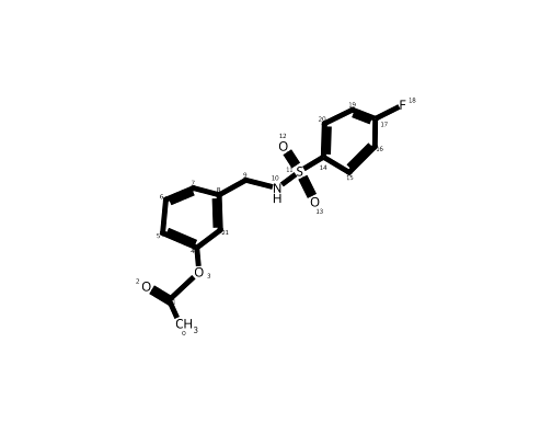 CC(=O)Oc1cccc(CNS(=O)(=O)c2ccc(F)cc2)c1